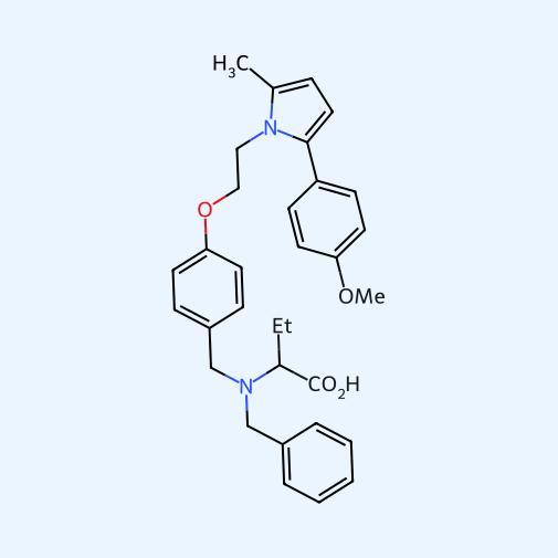 CCC(C(=O)O)N(Cc1ccccc1)Cc1ccc(OCCn2c(C)ccc2-c2ccc(OC)cc2)cc1